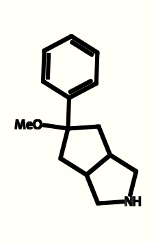 COC1(c2ccccc2)CC2CNCC2C1